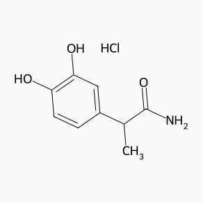 CC(C(N)=O)c1ccc(O)c(O)c1.Cl